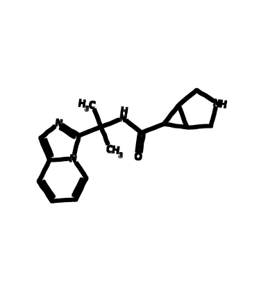 CC(C)(NC(=O)C1C2CNCC21)c1ncc2ccccn12